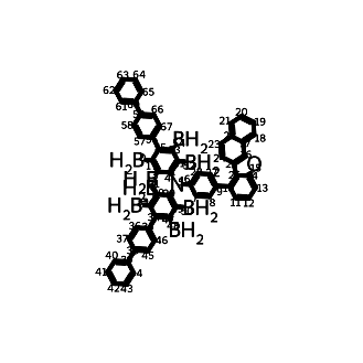 Bc1c(B)c(N(c2ccc(-c3cccc4oc5c6ccccc6ccc5c34)cc2)c2c(B)c(B)c(-c3ccc(-c4ccccc4)cc3)c(B)c2B)c(B)c(B)c1-c1ccc(-c2ccccc2)cc1